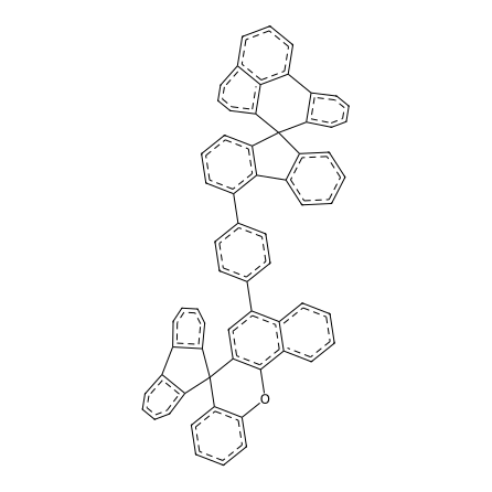 c1ccc2c(c1)Oc1c(cc(-c3ccc(-c4cccc5c4-c4ccccc4C54c5ccccc5-c5cccc6cccc4c56)cc3)c3ccccc13)C21c2ccccc2-c2ccccc21